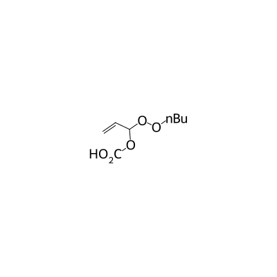 C=CC(OOCCCC)OC(=O)O